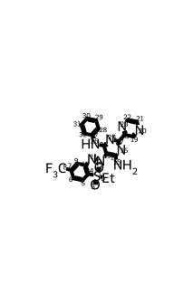 CCS(=O)(=O)c1ccc(C(F)(F)F)cc1/N=N/c1c(N)nc(-c2cnccn2)nc1Nc1ccccc1